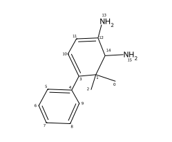 CC1(C)C(c2ccccc2)=CC=C(N)C1N